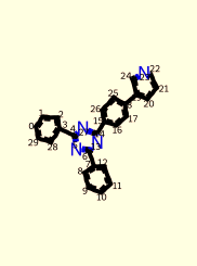 c1ccc(-c2nc(-c3ccccc3)nc(-c3ccc(-c4cccnc4)cc3)n2)cc1